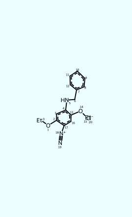 CCOc1cc(NCc2ccccc2)c(OCC)cc1[N+]#N.[Cl-]